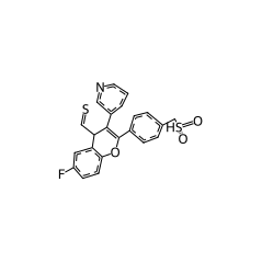 O=[SH](=O)Cc1ccc(C2=C(c3cccnc3)C(C=S)c3cc(F)ccc3O2)cc1